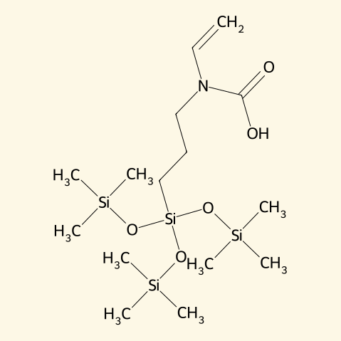 C=CN(CCC[Si](O[Si](C)(C)C)(O[Si](C)(C)C)O[Si](C)(C)C)C(=O)O